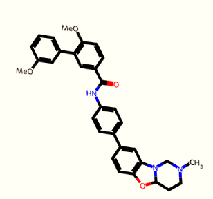 COc1cccc(-c2cc(C(=O)Nc3ccc(-c4ccc5c(c4)N4CN(C)CCC4O5)cc3)ccc2OC)c1